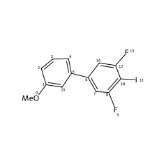 COc1cccc(-c2cc(F)c(I)c(F)c2)c1